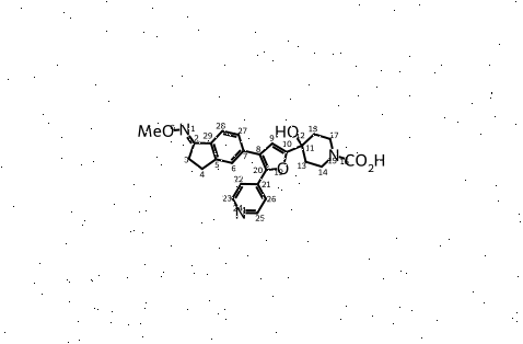 CON=C1CCc2cc(-c3cc(C4(O)CCN(C(=O)O)CC4)oc3-c3ccncc3)ccc21